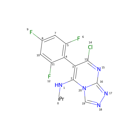 CC(C)Nc1c(-c2c(F)cc(F)cc2F)c(Cl)nc2nncn12